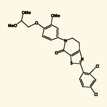 COc1cc(N2CCc3nc(-c4ccc(Cl)cc4Cl)sc3C2=O)ccc1OCC(OC)OC